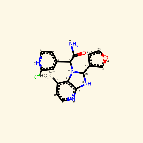 NC(=O)C(c1ccnc(Cl)c1)N1c2c(C(=O)O)ccnc2NC1c1ccoc1